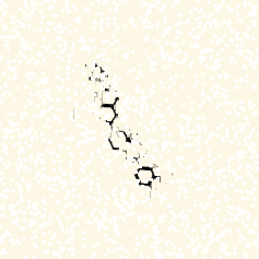 Cc1nc(-n2cnnn2)ncc1CC(=O)N1CCN2C[C@@H](c3ccc(F)c(C#N)c3C)OC[C@H]2C1